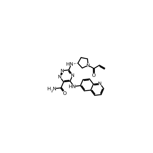 C=CC(=O)N1CC[C@@H](Nc2nnc(C(N)=O)c(Nc3ccc4ncccc4c3)n2)C1